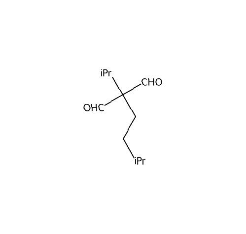 CC(C)CCC(C=O)(C=O)C(C)C